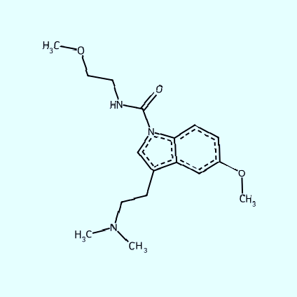 COCCNC(=O)n1cc(CCN(C)C)c2cc(OC)ccc21